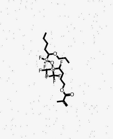 C=C(C)C(=O)OCCCC(F)[Si](O[Si](C)(F)C(CCCC)OCCC)(C(F)(F)F)C(F)(F)F